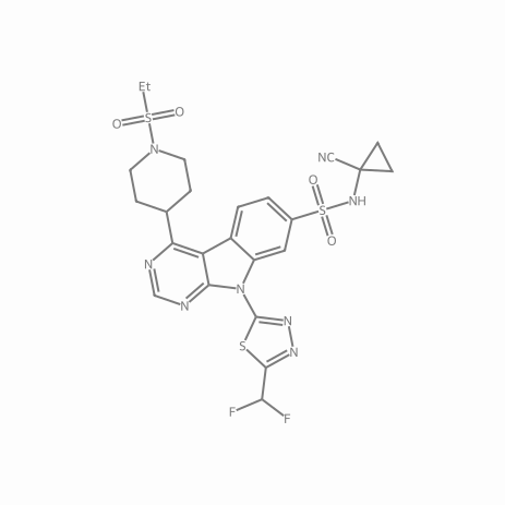 CCS(=O)(=O)N1CCC(c2ncnc3c2c2ccc(S(=O)(=O)NC4(C#N)CC4)cc2n3-c2nnc(C(F)F)s2)CC1